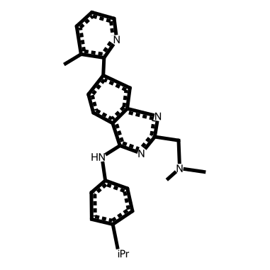 Cc1cccnc1-c1ccc2c(Nc3ccc(C(C)C)cc3)nc(CN(C)C)nc2c1